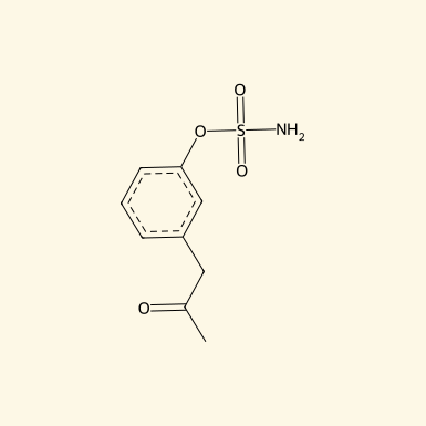 CC(=O)Cc1cccc(OS(N)(=O)=O)c1